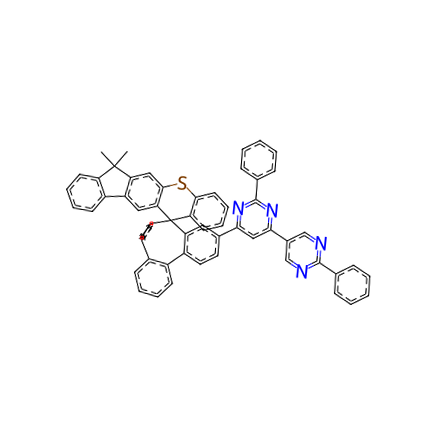 CC1(C)c2ccccc2-c2cc3c(cc21)Sc1ccccc1C31c2ccccc2-c2ccccc2-c2ccc(-c3cc(-c4cnc(-c5ccccc5)nc4)nc(-c4ccccc4)n3)cc21